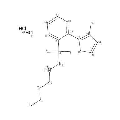 CCCC[NH][Ti][C](C)(C)c1ccccc1C1=C(C)C=CC1.Cl.Cl